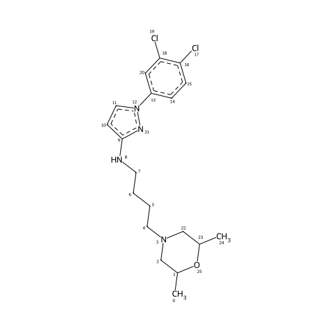 CC1CN(CCCCNc2ccn(-c3ccc(Cl)c(Cl)c3)n2)CC(C)O1